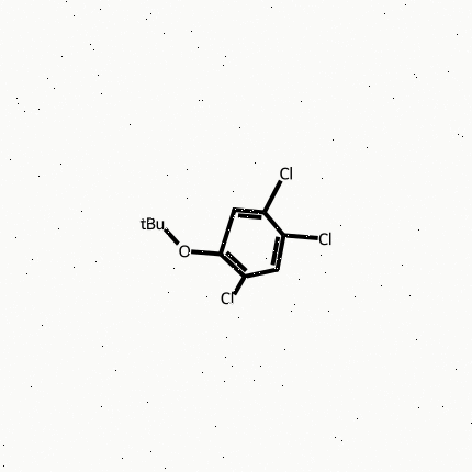 CC(C)(C)Oc1cc(Cl)c(Cl)cc1Cl